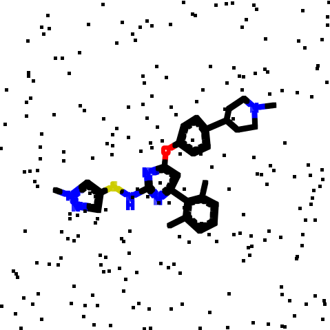 Cc1cccc(C)c1-c1cc(Oc2ccc(C3CCN(C)CC3)cc2)nc(NSc2cnn(C)c2)n1